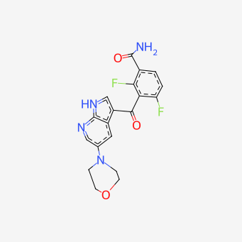 NC(=O)c1ccc(F)c(C(=O)c2c[nH]c3ncc(N4CCOCC4)cc23)c1F